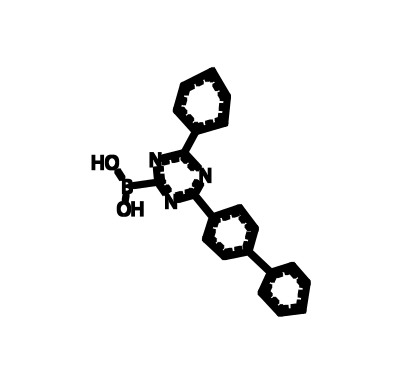 OB(O)c1nc(-c2ccccc2)nc(-c2ccc(-c3ccccc3)cc2)n1